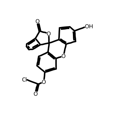 O=C(Cl)Oc1ccc2c(c1)Oc1cc(O)ccc1C21OC(=O)c2ccccc21